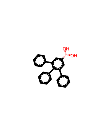 OB(O)c1cc(-c2ccccc2)c(-c2ccccc2)c(-c2ccccc2)c1